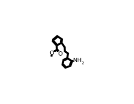 COC(=O)c1ccccc1CCCc1ccccc1N